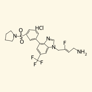 Cl.NC/C=C(\F)Cn1cnc2c(-c3cccc(S(=O)(=O)N4CCCC4)c3)cc(C(F)(F)F)cc21